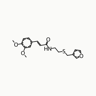 COc1ccc(C=CC(=O)NCCSCc2ccoc2)cc1OC